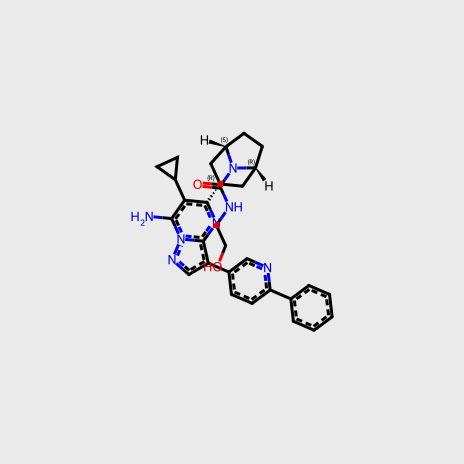 Nc1c(C2CC2)c([C@H]2C[C@H]3CC[C@@H](C2)N3C(=O)NCCO)nc2c(-c3ccc(-c4ccccc4)nc3)cnn12